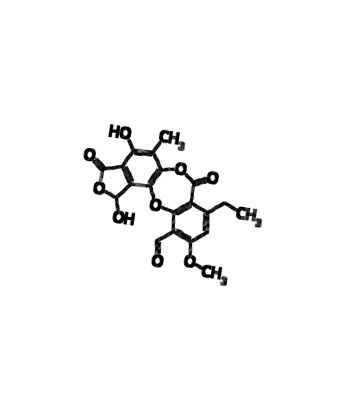 CCc1cc(OC)c(C=O)c2c1C(=O)Oc1c(C)c(O)c3c(c1O2)C(O)OC3=O